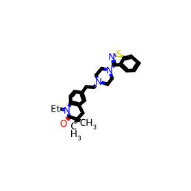 CCN1C(=O)C(C)(C)Cc2cc(CCN3CCN(c4nsc5ccccc45)CC3)ccc21